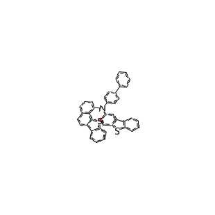 c1ccc(-c2ccc(N(c3ccc4sc5ccccc5c4c3)c3cccc4ccc5c6ccccc6sc5c34)cc2)cc1